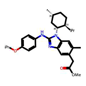 COC(=O)Cc1cc2nc(Nc3ccc(OC(C)C)cc3)n([C@@H]3C[C@H](C)CC[C@H]3C(C)C)c2cc1C